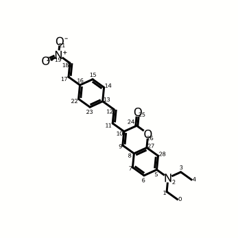 CCN(CC)c1ccc2cc(C=Cc3ccc(C=C[N+](=O)[O-])cc3)c(=O)oc2c1